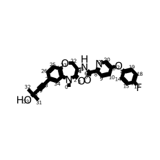 CN1C(=O)[C@@H](NC(=O)c2ccc(Oc3ccc(F)cc3)cn2)COc2ccc(C#CC(C)(C)O)cc21